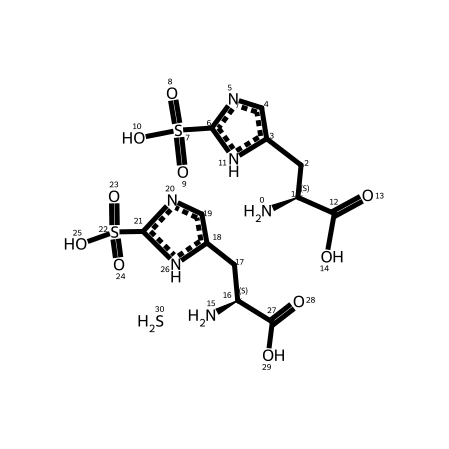 N[C@@H](Cc1cnc(S(=O)(=O)O)[nH]1)C(=O)O.N[C@@H](Cc1cnc(S(=O)(=O)O)[nH]1)C(=O)O.S